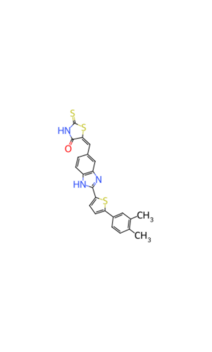 Cc1ccc(-c2ccc(-c3nc4cc(/C=C5/SC(=S)NC5=O)ccc4[nH]3)s2)cc1C